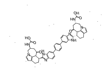 O=C(O)N[C@H]1CC(=O)C2c3c(ccn3C1)CC[C@@H]2c1nc2ccc(-c3ccc(-c4ccc5nc([C@H]6CCc7ccn8c7C6C(=O)C[C@H](NC(=O)O)C8)[nH]c5c4)cc3)cc2[nH]1